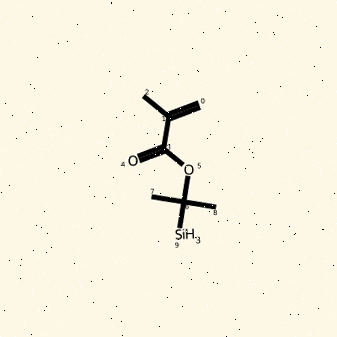 C=C(C)C(=O)OC(C)(C)[SiH3]